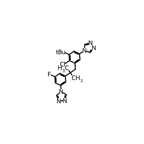 CC(C)(C)c1cc(-n2cnnc2)cc(CC(C)(C)c2cc(F)cc(-n3cnnc3)c2)c1Cl